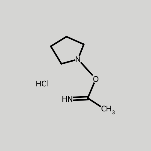 CC(=N)ON1CCCC1.Cl